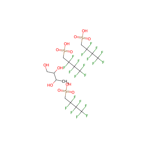 CC(O)C(O)CO.O=S(=O)(O)CC(F)(F)C(F)(F)C(F)(F)F.O=S(=O)(O)CC(F)(F)C(F)(F)C(F)(F)F.O=S(=O)(O)CC(F)(F)C(F)(F)C(F)(F)F